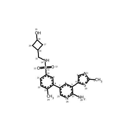 Cc1ncc(-c2cc(-c3cc(S(=O)(=O)NCC4CC(O)C4)ccc3C)cnc2N)s1